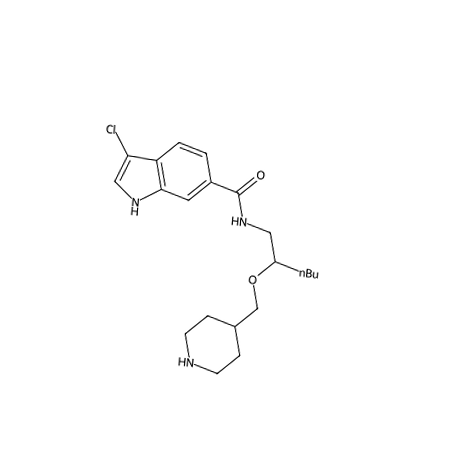 CCCCC(CNC(=O)c1ccc2c(Cl)c[nH]c2c1)OCC1CCNCC1